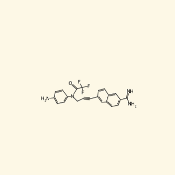 N=C(N)c1ccc2cc(C#CCN(C(=O)C(F)(F)F)c3ccc(N)cc3)ccc2c1